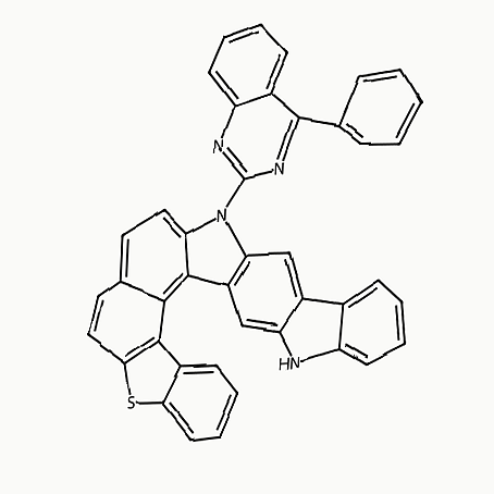 c1ccc(-c2nc(-n3c4cc5c(cc4c4c6c(ccc7sc8ccccc8c76)ccc43)[nH]c3ccccc35)nc3ccccc23)cc1